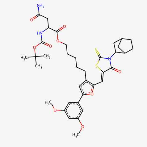 COc1cc(OC)cc(-c2cc(CCCCCOC(=O)C(CC(N)=O)NC(=O)OC(C)(C)C)c(C=C3SC(=S)N(C4CC5CCC4C5)C3=O)o2)c1